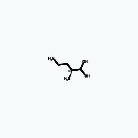 NCC[C@@H](N)C(O)O